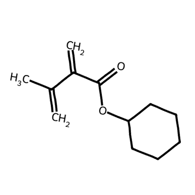 C=C(C)C(=C)C(=O)OC1CCCCC1